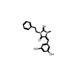 CN1C(=[Se])N(CCc2ccccc2)C(=O)C1=Cc1cc(O)cc(O)c1